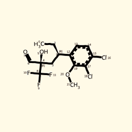 CC[C@H](C[C@@](O)(C=O)C(F)(F)F)c1ccc(Cl)c(Cl)c1OC